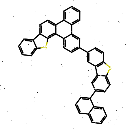 c1ccc2c(-c3ccc4sc5ccc(-c6ccc7c(c6)c6ccccc6c6ccc8c9ccccc9sc8c67)cc5c4c3)cccc2c1